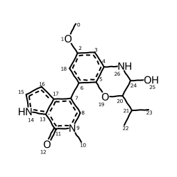 COc1cc2c(c(-c3cn(C)c(=O)c4[nH]ccc34)c1)OC(C(C)C)C(O)N2